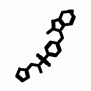 Cc1nc2c(n1Cc1ccc(S(=O)(=O)N(C)Cc3cccs3)cc1)C=CNC2